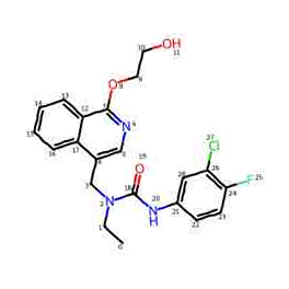 CCN(Cc1cnc(OCCO)c2ccccc12)C(=O)Nc1ccc(F)c(Cl)c1